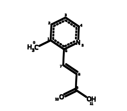 Cc1cccnc1C=CC(=O)O